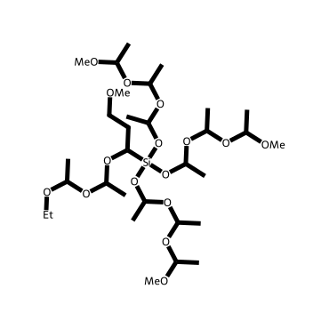 CCOC(C)OC(C)OC(CCOC)[Si](OC(C)OC(C)OC(C)OC)(OC(C)OC(C)OC(C)OC)OC(C)OC(C)OC(C)OC